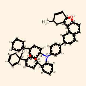 CC1C=Cc2oc3ccc4ccc(-c5ccc(N(c6ccc(-c7ccccc7)cc6)c6ccccc6-c6ccc(C7(C)C=CC=CC7)cc6)cc5)cc4c3c2C1